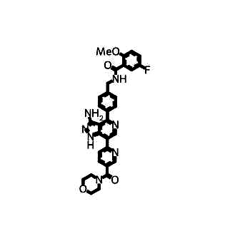 COc1ccc(F)cc1C(=O)NCc1ccc(-c2ncc(-c3ccc(C(=O)N4CCOCC4)cn3)c3[nH]nc(N)c23)cc1